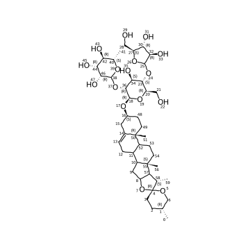 C[C@@H]1CC[C@@]2(OC1)OC1CC3C4CC=C5C[C@@H](O[C@@H]6O[C@H](CO)[C@@H](OC7O[C@@H](CO)[C@H](O)[C@H]7O)[C@H](O)[C@H]6OC6O[C@@H](C)[C@H](O)[C@@H](O)[C@H]6O)CC[C@]5(C)C4CC[C@]3(C)C1[C@@H]2C